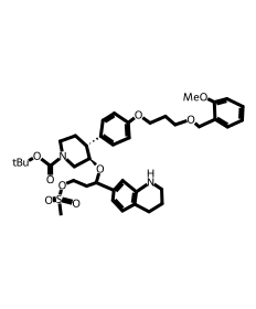 COc1ccccc1COCCCOc1ccc([C@H]2CCN(C(=O)OC(C)(C)C)C[C@@H]2OC(CCOS(C)(=O)=O)c2ccc3c(c2)NCCC3)cc1